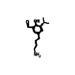 CC(C)c1cc(CCCCN)cc(C=O)c1O